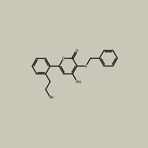 CC(C)CCc1ccccc1-c1cc(O)c(SCc2ccccc2)c(=O)o1